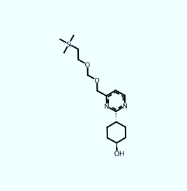 C[Si](C)(C)CCOCOCc1ccnc([C@H]2CC[C@H](O)CC2)n1